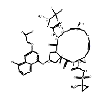 C[C@@H]1CC/C=C\C2C[C@@]2(C(=O)NS(=O)(=O)C2(C)CC2)NC(=O)[C@@H]2C[C@@H](Oc3nc(OCC(F)F)cc4c(Cl)cccc34)CN2C(=O)[C@@H](NC(=O)O[C@H](C)C(F)(F)F)[C@H](C)C1